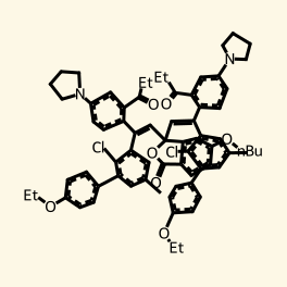 CCCCOc1ccc2c(c1)C(C=C(c1ccc(N3CCCC3)cc1C(=O)CC)c1cc(C)cc(-c3ccc(OCC)cc3)c1Cl)(C=C(c1ccc(N3CCCC3)cc1C(=O)CC)c1cc(C)cc(-c3ccc(OCC)cc3)c1Cl)OC2=O